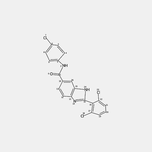 O=C(Nc1ccc(Cl)cc1)c1ccc2nc(-c3c(Cl)cccc3Cl)[nH]c2c1